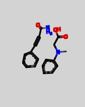 CN(CC(=O)O)c1ccccc1.NC(=O)C#Cc1ccccc1